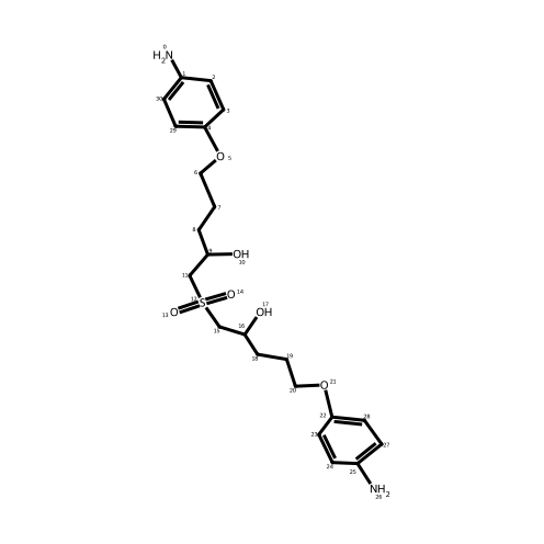 Nc1ccc(OCCCC(O)CS(=O)(=O)CC(O)CCCOc2ccc(N)cc2)cc1